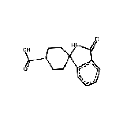 O=C1NC2(CCN(C(=O)O)CC2)c2ccccc21